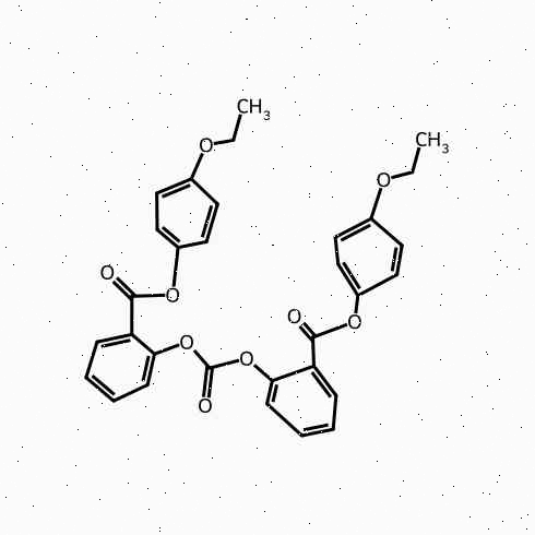 CCOc1ccc(OC(=O)c2ccccc2OC(=O)Oc2ccccc2C(=O)Oc2ccc(OCC)cc2)cc1